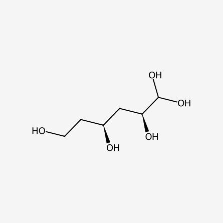 OCC[C@H](O)C[C@H](O)C(O)O